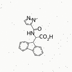 Cn1nccc1C(=O)NC(C(=O)O)C1c2ccccc2-c2ccccc21